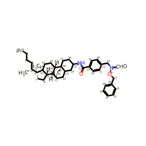 CC(C)CCC[C@@H](C)[C@H]1CC[C@H]2[C@@H]3CCC4CC(NC(=O)c5ccc(CN(C=O)OCc6ccccc6)cc5)CC[C@]4(C)[C@H]3CC[C@]12C